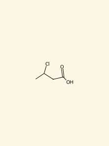 CC(Cl)CC(=O)O